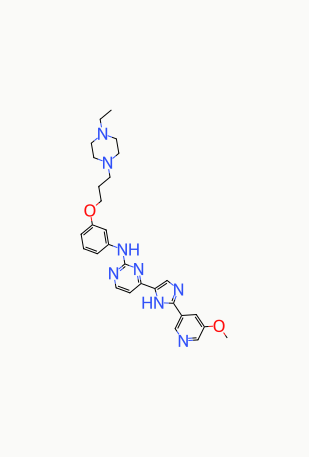 CCN1CCN(CCCOc2cccc(Nc3nccc(-c4cnc(-c5cncc(OC)c5)[nH]4)n3)c2)CC1